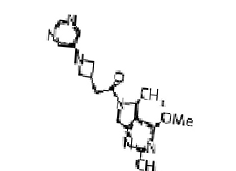 COc1nc(C)nc2c1C(C)N(C(=O)CC1CN(c3cncnc3)C1)C2